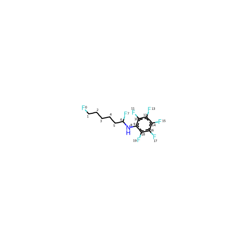 FCCCCCC(F)Nc1c(F)c(F)c(F)c(F)c1F